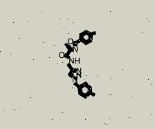 Cc1ccc(Cn2cc(CNC(=O)c3coc(-c4ccc(C)cc4)n3)nn2)cc1